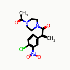 C=C(C(=O)N1CCN(C(C)=O)CC1)c1ccc(Cl)c([N+](=O)[O-])c1